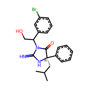 CC(C)C[C@]1(c2ccccc2)NC(=N)N(C(CO)c2cccc(Br)c2)C1=O